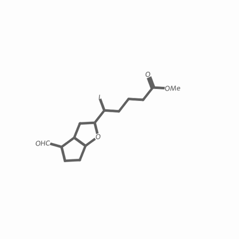 COC(=O)CCCC(I)C1CC2C(C=O)CCC2O1